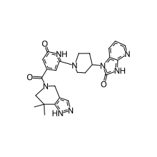 CC1(C)CN(C(=O)c2cc(N3CCC(n4c(=O)[nH]c5ncccc54)CC3)[nH]c(=O)c2)Cc2cn[nH]c21